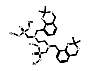 CC(C)(C)OP(=O)(CN(CCN(Cc1cccc2c1OC(C)(C)OC2)CP(=O)(OC(C)(C)C)OC(C)(C)C)Cc1cccc2c1OC(C)(C)OC2)OC(C)(C)C